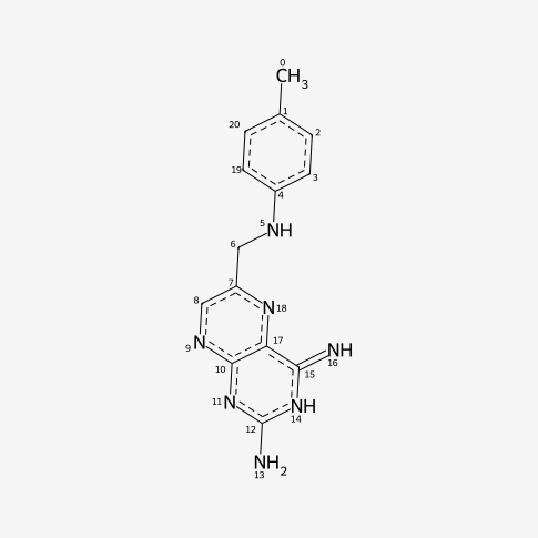 Cc1ccc(NCc2cnc3nc(N)[nH]c(=N)c3n2)cc1